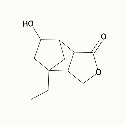 CCC12CC(O)C(C1)C1C(=O)OCC12